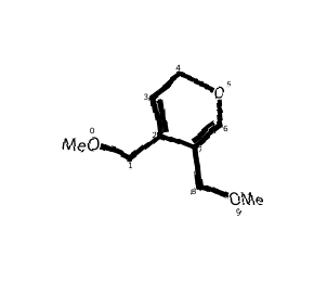 COCC1=[C]COC=C1COC